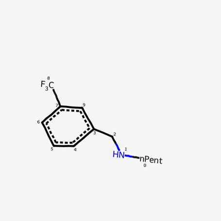 CCCCCNCc1cccc(C(F)(F)F)c1